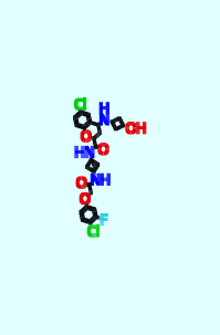 O=C(COc1ccc(Cl)c(F)c1)NC12CC(NC(=O)C3CC(N[C@H]4C[C@@H](O)C4)c4cc(Cl)ccc4O3)(C1)C2